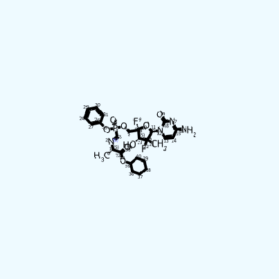 C[C@H](/N=C/P(=O)(OC[C@@]1(F)O[C@@H](n2ccc(N)nc2=O)[C@](C)(F)[C@@H]1O)Oc1ccccc1)C(=O)OC1CCCCC1